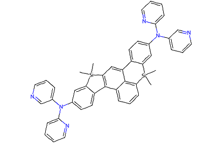 C[Si]1(C)c2cc(N(c3cccnc3)c3ccccn3)ccc2-c2c1cc1c3c(cccc23)[Si](C)(C)c2cc(N(c3cccnc3)c3ccccn3)ccc2-1